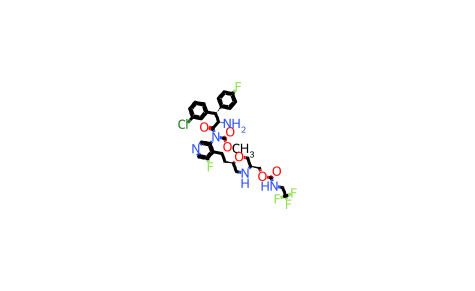 COC(=O)N(C(=O)[C@@H](N)[C@@H](c1ccc(F)cc1)c1cccc(Cl)c1)c1cncc(F)c1CC[C@@H]1CN[C@H](COC(=O)NCC(F)(F)F)CO1